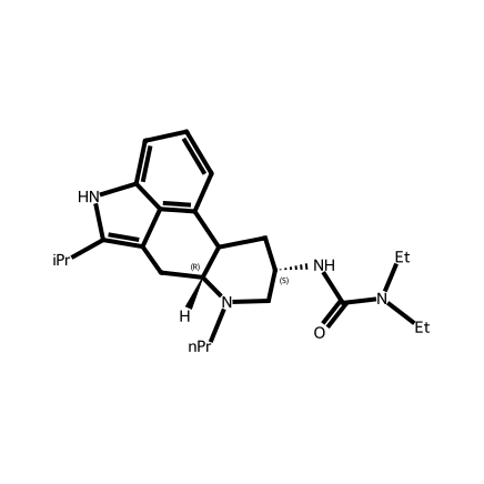 CCCN1C[C@@H](NC(=O)N(CC)CC)CC2c3cccc4[nH]c(C(C)C)c(c34)C[C@H]21